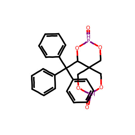 O=[PH]1OCC2(CO1)CO[PH](=O)OC2C(c1ccccc1)(c1ccccc1)c1ccccc1